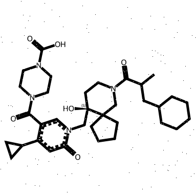 CC(CC1CCCCC1)C(=O)N1CC[C@@](O)(Cn2cc(C(=O)N3CCN(C(=O)O)CC3)c(C3CC3)cc2=O)C2(CCCC2)C1